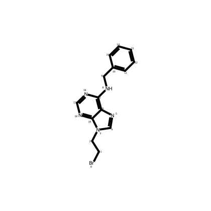 BrCCn1cnc2c(NCc3ccccc3)ncnc21